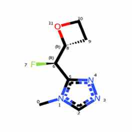 Cn1cnnc1[C@@H](F)[C@H]1CCO1